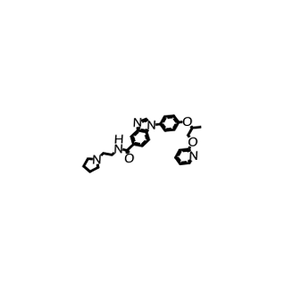 CC(COc1ccccn1)Oc1ccc(-n2cnc3cc(C(=O)NCCN4CCCC4)ccc32)cc1